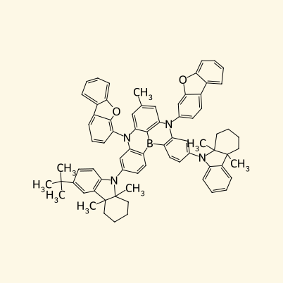 Cc1cc2c3c(c1)N(c1cccc4c1oc1ccccc14)c1cc(N4c5ccc(C(C)(C)C)cc5C5(C)CCCCC45C)ccc1B3c1ccc(N3c4ccccc4C4(C)CCCCC34C)cc1N2c1ccc2c(c1)oc1ccccc12